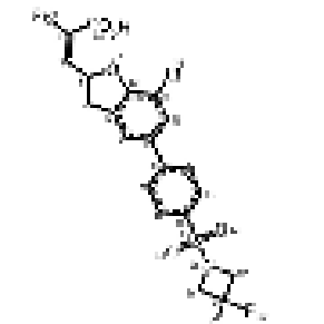 CCC(=CC1Cc2cc(-c3ccc(S(=O)(=O)N4CC(F)(F)C4)cc3)cc(Cl)c2O1)C(=O)O